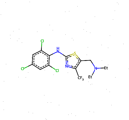 CCN(CC)Cc1sc(Nc2c(Cl)cc(Cl)cc2Cl)nc1C(F)(F)F